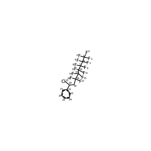 FC(F)(F)C(F)(F)C(F)(F)C(F)(F)C(F)(F)C(F)(F)CC(Cl)c1ccccc1